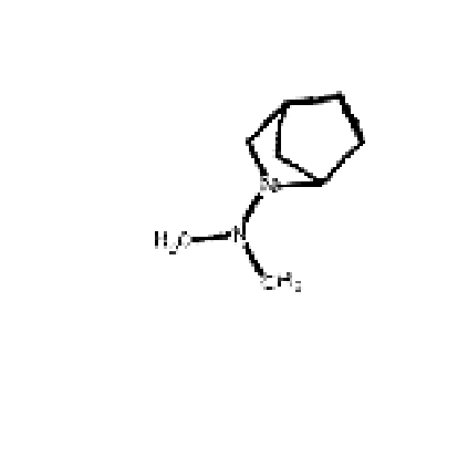 CN(C)N1CC2CCC1C2